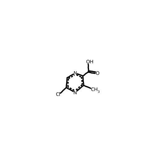 Cc1nc(Cl)cnc1C(=O)O